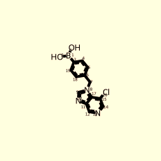 OB(O)c1ccc(Cn2cnc3cncc(Cl)c32)cc1